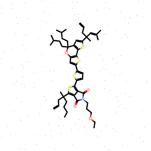 C=CCC(C)(C=C(C)C)c1cc2c(s1)-c1sc(-c3ccc(-c4sc(C(C)(CC=C)CCCC)c5c4C(=O)N(CCCOCC)C5=O)s3)cc1OC2(CCC(C)C)CCC(C)C